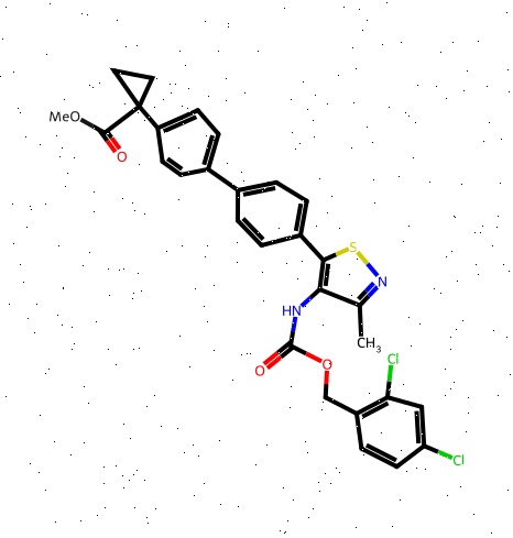 COC(=O)C1(c2ccc(-c3ccc(-c4snc(C)c4NC(=O)OCc4ccc(Cl)cc4Cl)cc3)cc2)CC1